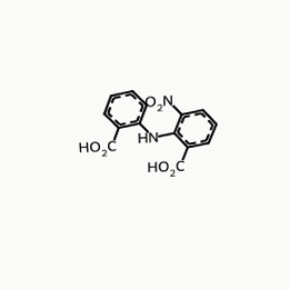 O=C(O)c1ccccc1Nc1c(C(=O)O)cccc1[N+](=O)[O-]